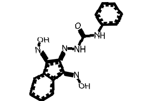 O=C(N/N=c1c(=N\O)/c2ccccc2c/1=N\O)Nc1ccccc1